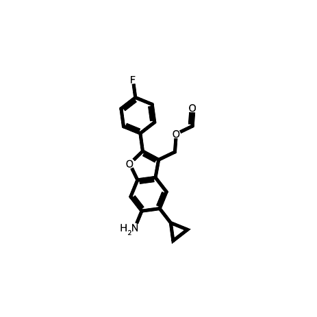 Nc1cc2oc(-c3ccc(F)cc3)c(COC=O)c2cc1C1CC1